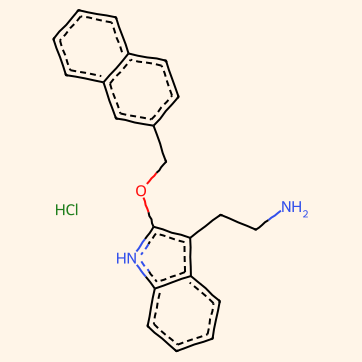 Cl.NCCc1c(OCc2ccc3ccccc3c2)[nH]c2ccccc12